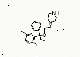 CCC(OCCN1CCNCC1)(c1ccccc1)c1cc(C)ccc1C